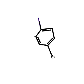 CCc1c[c]c(I)cc1